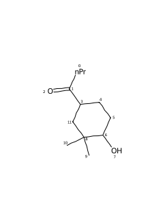 CCCC(=O)C1CCC(O)C(C)(C)C1